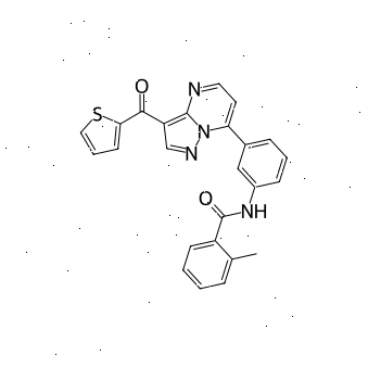 Cc1ccccc1C(=O)Nc1cccc(-c2ccnc3c(C(=O)c4cccs4)cnn23)c1